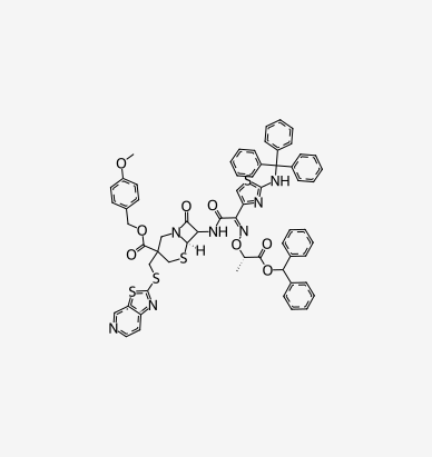 COc1ccc(COC(=O)C2(CSc3nc4ccncc4s3)CS[C@@H]3C(NC(=O)C(=NO[C@@H](C)C(=O)OC(c4ccccc4)c4ccccc4)c4csc(NC(c5ccccc5)(c5ccccc5)c5ccccc5)n4)C(=O)N3C2)cc1